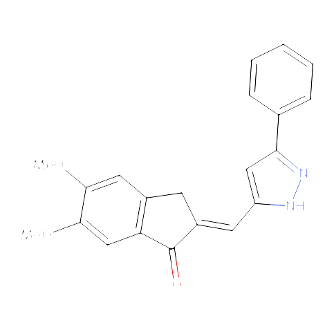 COc1cc2c(cc1OC)C(=O)/C(=C/c1cc(-c3ccccc3)n[nH]1)C2